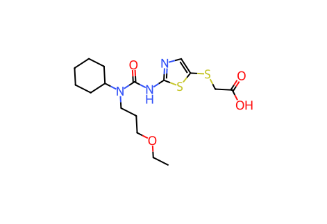 CCOCCCN(C(=O)Nc1ncc(SCC(=O)O)s1)C1CCCCC1